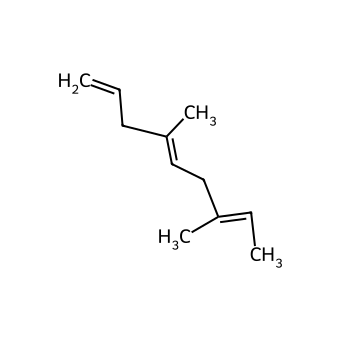 C=CC/C(C)=C/C/C(C)=C/C